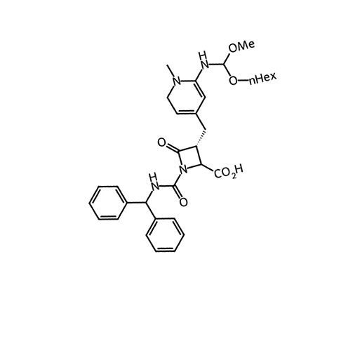 CCCCCCOC(NC1=CC(C[C@H]2C(=O)N(C(=O)NC(c3ccccc3)c3ccccc3)C2C(=O)O)=CCN1C)OC